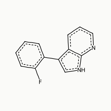 Fc1ccccc1-c1c[nH]c2ncccc12